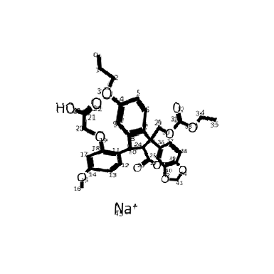 CCCOc1ccc2c(c1)C(c1ccc(OC)cc1OCC(=O)O)C(C(=O)[O-])C2(COC(=O)OCC)c1ccc2c(c1)OCO2.[Na+]